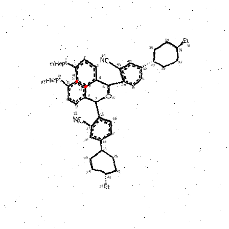 CCCCCCCc1ccc(C(OC(c2ccc(CCCCCCC)cc2)c2ccc([C@H]3CC[C@H](CC)CC3)cc2C#N)c2ccc([C@H]3CC[C@H](CC)CC3)cc2C#N)cc1